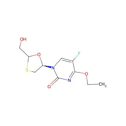 CCOc1nc(=O)n([C@H]2CSC(CO)O2)cc1F